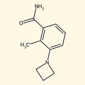 Cc1c(C(N)=O)cccc1N1CCC1